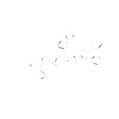 C1=CCCC(N2C3CC(C4=CC5C(CC4)C4CCC(C6=CC7C8=C(CCC=C8)N(C8C=CCCC8)C7CC6)=CC4N5C4=CC=C5OC6=C(C=CCC6)C5C4)CC=C3C3CCC=CC32)=C1